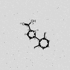 Cc1cccc(C)c1-c1ccc(C(=O)O)s1